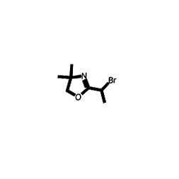 CC(Br)C1=NC(C)(C)CO1